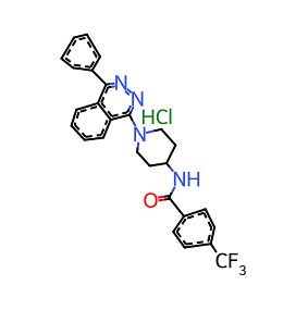 Cl.O=C(NC1CCN(c2nnc(-c3ccccc3)c3ccccc23)CC1)c1ccc(C(F)(F)F)cc1